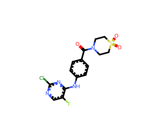 O=C(c1ccc(Nc2nc(Cl)ncc2F)cc1)N1CCS(=O)(=O)CC1